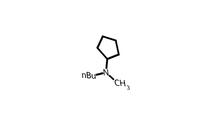 [CH2]CCCN(C)C1CCCC1